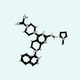 CN1CCC[C@H]1COc1nc2c(c(N3CCN(C(=O)O)CC3)n1)CCN(c1nccc3ccccc13)C2